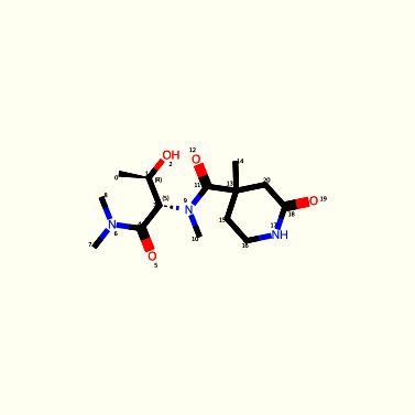 C[C@@H](O)[C@@H](C(=O)N(C)C)N(C)C(=O)C1(C)CCNC(=O)C1